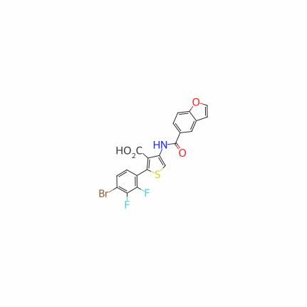 O=C(Nc1csc(-c2ccc(Br)c(F)c2F)c1C(=O)O)c1ccc2occc2c1